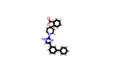 O=C1OC2(CCN(c3nc(-c4cccc(-c5ccccc5)c4)c[nH]3)CC2)c2ccccc21